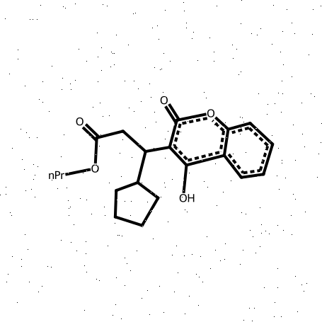 CCCOC(=O)CC(c1c(O)c2ccccc2oc1=O)C1CCCC1